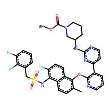 Cc1ccc2c(NS(=O)(=O)Cc3cccc(F)c3F)c(F)ccc2c1Oc1ncccc1-c1ccnc(NC2CCCN(C(=O)OC(C)(C)C)C2)n1